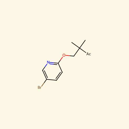 CC(=O)C(C)(C)COc1ccc(Br)cn1